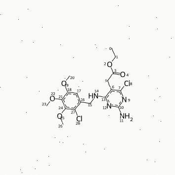 CCOC(=O)Cc1c(Cl)nc(N)nc1NCc1cc(OC)c(OC)c(OC)c1Cl